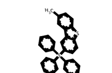 Cc1ccc2sc3ccc(S(c4ccccc4)(c4ccccc4)c4ccccc4)cc3c2c1